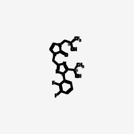 C[C@H](O)c1nc(Cn2ccn(C[C@H](O)C(F)(F)F)c2=O)nn1-c1cccc(F)c1F